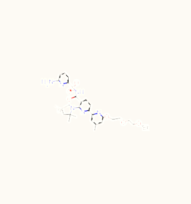 CCOCCOCCOc1cc(C)cc(-c2ccc(C(=O)NS(=O)(=O)c3cccc(N)n3)c(N3C[C@@H](C)CC3(C)C)n2)n1